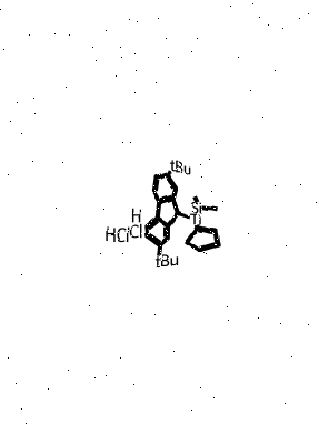 C[Si](C)=[Ti]([C]1=CC=CC1)[CH]1c2cc(C(C)(C)C)ccc2-c2ccc(C(C)(C)C)cc21.Cl.Cl